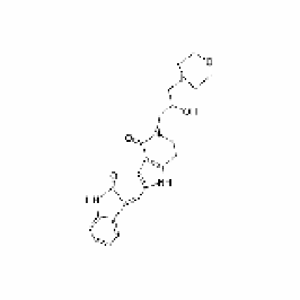 O=C1Nc2ccccc2/C1=C/c1cc2c([nH]1)CCN(CC(O)CN1CCOCC1)C2=O